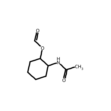 CC(=O)NC1CCCCC1OC=O